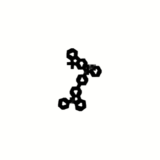 CC1(C)C2=CC(N(C3=CC=CCN3)c3ccc(-c4ccc5c(c4)c4ccc#cc4n5-c4ccccc4)cc3)=CCC2c2ccccc21